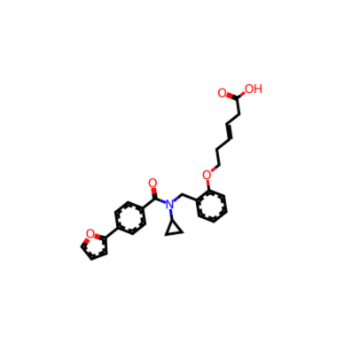 O=C(O)CC=CCCOc1ccccc1CN(C(=O)c1ccc(-c2ccco2)cc1)C1CC1